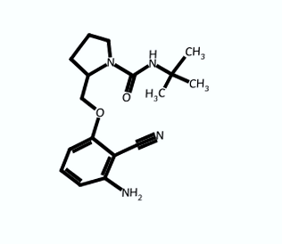 CC(C)(C)NC(=O)N1CCCC1COc1cccc(N)c1C#N